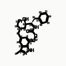 Cc1n[nH]c2ccc(CN(CC(C)C)C[C@@H](O)[C@H](Cc3ccccc3)NC(=O)OC(C)(C)C)cc12